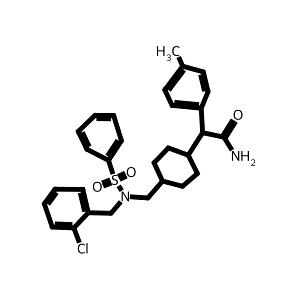 Cc1ccc(C(C(N)=O)C2CCC(CN(Cc3ccccc3Cl)S(=O)(=O)c3ccccc3)CC2)cc1